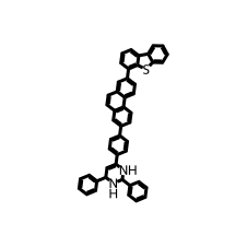 C1=C(c2ccc(-c3ccc4c(ccc5cc(-c6cccc7c6sc6ccccc67)ccc54)c3)cc2)NC(c2ccccc2)NC1c1ccccc1